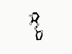 O=c1[nH]cccc1N=NC1C=CC=CO1